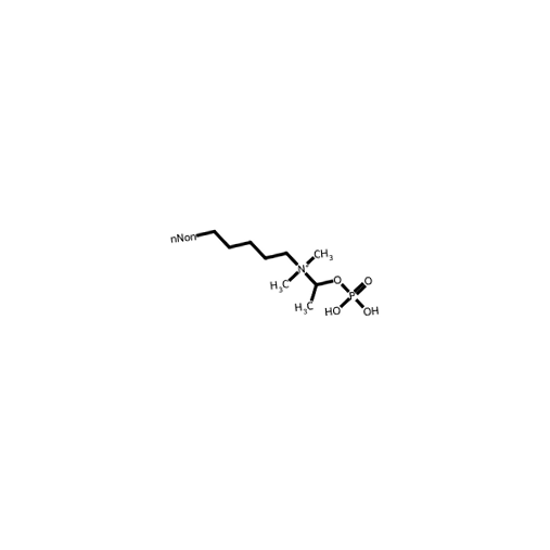 CCCCCCCCCCCCCC[N+](C)(C)C(C)OP(=O)(O)O